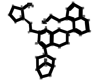 CN1CCC[C@H]1COc1nc2c(c(N3CC4CCC(C3)N4)n1)CCN(c1cccc3cccc(CCC#N)c13)C2